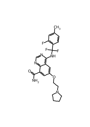 Cc1ccc(C(F)(F)Nc2ncnc3c(C(N)=O)cc(OCCN4CCCC4)cc23)c(F)c1